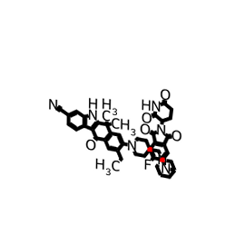 CCc1cc2c(cc1N1CCC(CN3CC4CC(C3)N4c3cc4c(cc3F)C(=O)N(C3CCC(=O)NC3=O)C4=O)CC1)C(C)(C)c1[nH]c3cc(C#N)ccc3c1C2=O